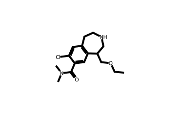 CCOCC1CNCCc2cc(Cl)c(C(=O)N(C)C)cc21